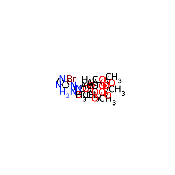 CC(=O)CCCN(C(=O)[C@@H](C)OC(=O)[C@@H](C)OC(=O)[C@@H](C)OC(=O)[C@@H](C)OC(=O)[C@@H](C)OC(=O)[C@@H](C)OC(C)=O)/C(N)=N/c1ccc2nccnc2c1Br